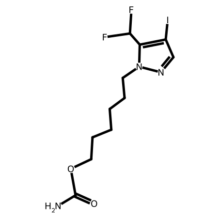 NC(=O)OCCCCCCn1ncc(I)c1C(F)F